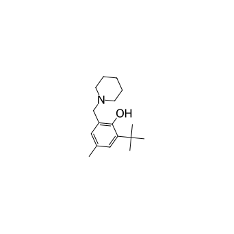 Cc1cc(CN2CCCCC2)c(O)c(C(C)(C)C)c1